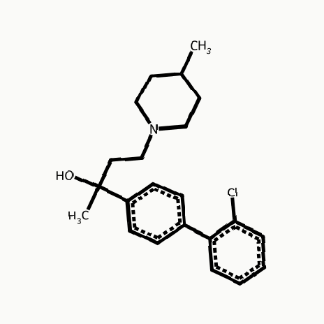 CC1CCN(CCC(C)(O)c2ccc(-c3ccccc3Cl)cc2)CC1